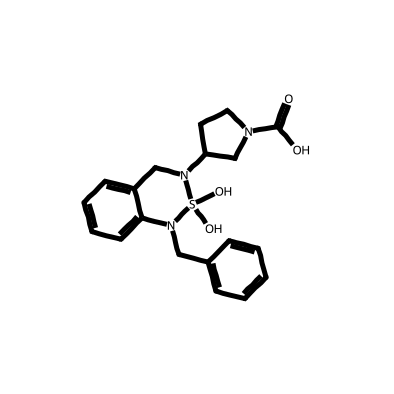 O=C(O)N1CCC(N2Cc3ccccc3N(Cc3ccccc3)S2(O)O)C1